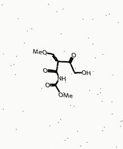 CO/C=C(/C(=O)CO)C(=O)NC(=O)OC